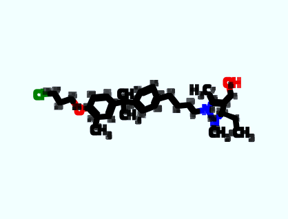 CC[C@@H]1C(CO)=C(C)N(CCCCc2ccc(C(C)(C)c3ccc(OCCCCl)c(C)c3)cc2)N1C